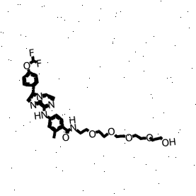 Cc1cc(Nc2nccn3c(-c4ccc(OC(F)F)cc4)cnc23)ccc1C(=O)NCCOCCOCCOCCOCCO